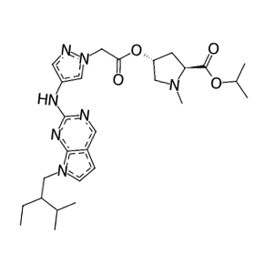 CCC(Cn1ccc2cnc(Nc3cnn(CC(=O)O[C@@H]4C[C@@H](C(=O)OC(C)C)N(C)C4)c3)nc21)C(C)C